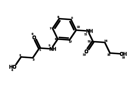 O=C(CCO)Nc1cccc(NC(=O)CCO)c1